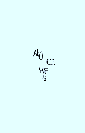 F.[Al].[C].[O].[S]